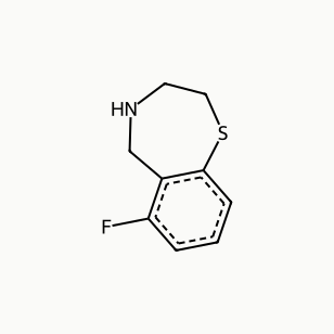 Fc1cccc2c1CNCCS2